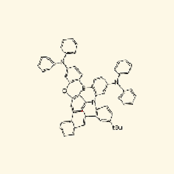 CC(C)(C)c1ccc(N2c3cc(N(c4ccccc4)c4ccccc4)ccc3B3c4ccc(N(c5ccccc5)c5ccccc5)cc4Oc4cccc2c43)c(-c2ccc3ccccc3c2)c1